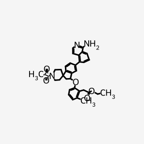 CCOC(=O)Cc1c(C)cccc1OC1CC2(CCN(S(C)(=O)=O)CC2)c2ccc(-c3cccc4c(N)nccc34)cc21